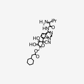 CC(C)[C@H](N)C(=O)Nc1ncnn2c([C@]3(C#N)O[C@H](COC(=O)CC4CCCCC4)[C@@H](O)[C@H]3O)ccc12